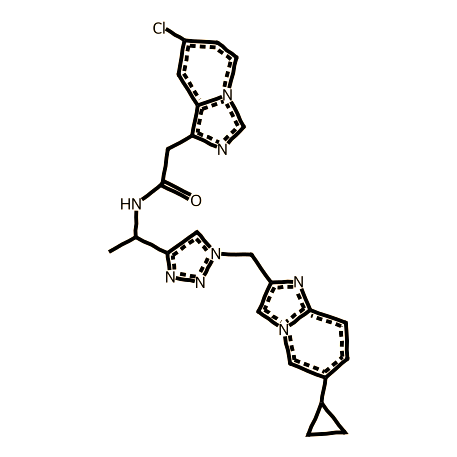 CC(NC(=O)Cc1ncn2ccc(Cl)cc12)c1cn(Cc2cn3cc(C4CC4)ccc3n2)nn1